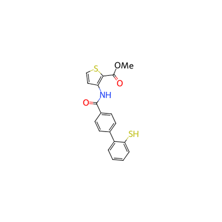 COC(=O)c1sccc1NC(=O)c1ccc(-c2ccccc2S)cc1